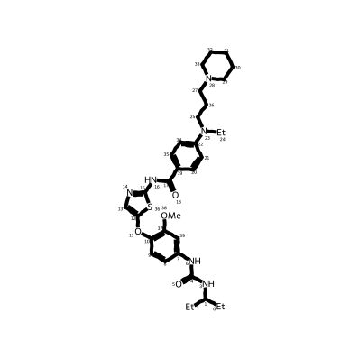 CCC(CC)NC(=O)Nc1ccc(Oc2cnc(NC(=O)c3ccc(N(CC)CCCN4CCCCC4)cc3)s2)c(OC)c1